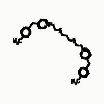 Cc1ccc(Cc2cc[n+](CCSCCCSCC[n+]3ccc(Cc4ccc(C)cc4)cc3)cc2)cc1